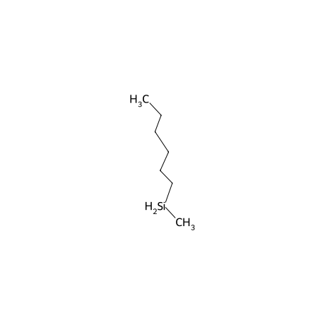 CCCCCC[SiH2]C